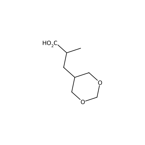 CC(CC1COCOC1)C(=O)O